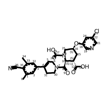 Cc1cc(C2=CCN(C(=O)[C@@H]3[C@@H](C(=O)O)C[C@H](Oc4cncc(Cl)c4)CN3C(=O)O)CC2)cc(C)c1C#N